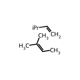 C=CC(C)C.CC=C(C)C